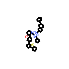 c1ccc(C2=NC(c3ccc4ccc(-c5ccccc5)cc4c3)NC(c3cccc4oc5cc(-c6cccc7c6sc6ccccc67)ccc5c34)=N2)cc1